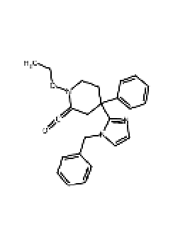 CCON1CCC(c2ccccc2)(c2nccn2Cc2ccccc2)CC1=C=O